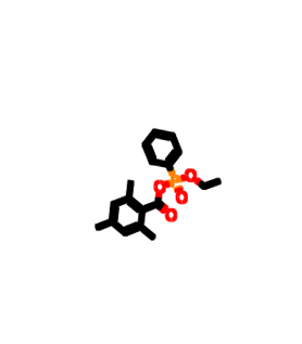 CCOP(=O)(OC(=O)c1c(C)cc(C)cc1C)c1ccccc1